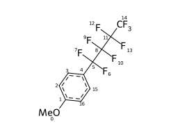 COc1ccc(C(F)(F)C(F)(F)C(F)(F)C(F)(F)F)cc1